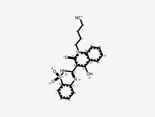 N#CCCCCn1c(=O)c(C2=Nc3ccccc3S(=O)(=O)N2)c(O)c2ccccc21